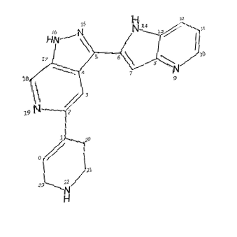 C1=C(c2cc3c(-c4cc5ncccc5[nH]4)n[nH]c3cn2)CCNC1